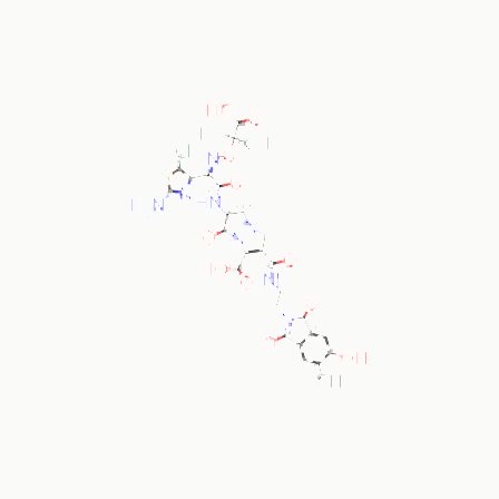 Cc1cc2c(cc1O)C(=O)N(CCNC(=O)C1=C(C(=O)O)N3C(=O)[C@@H](NC(=O)/C(=N\OC(C)(C)C(=O)O)c4nc(N)sc4Cl)CN3C1)C2=O